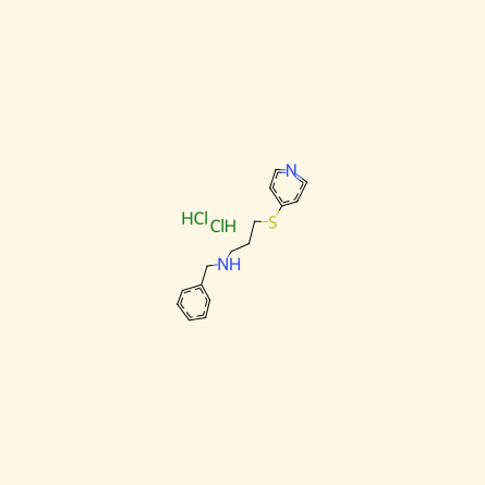 Cl.Cl.c1ccc(CNCCCSc2ccncc2)cc1